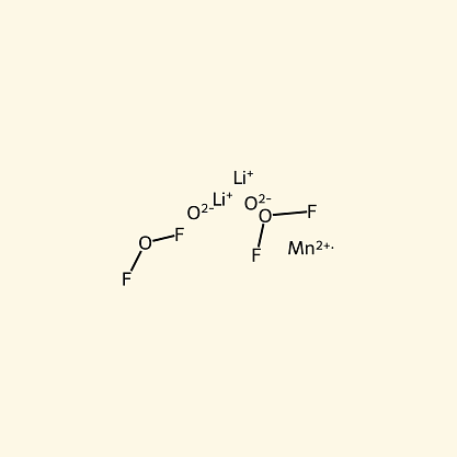 FOF.FOF.[Li+].[Li+].[Mn+2].[O-2].[O-2]